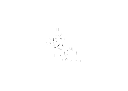 CCCCCC(=O)O[C@@H](C)CC(N)(Cc1ccc(OC(=O)C(C)(C)CC)c(OC(=O)C(C)(C)CC)c1)C(=O)O